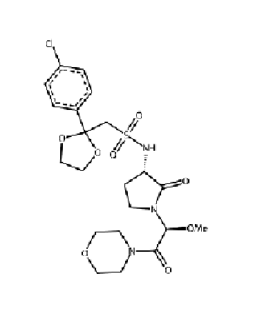 CO[C@@H](C(=O)N1CCOCC1)N1CC[C@H](NS(=O)(=O)CC2(c3ccc(Cl)cc3)OCCO2)C1=O